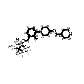 CC(C)(C)[Si](C)(C)OCc1cccc(N2CCC(OCC3CCOCC3)CC2)c1F